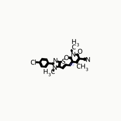 CCN1C(=O)C(C#N)=C(C)/C(=C/c2cc3c(nc(-c4ccc(Cl)cc4)n3C)s2)C1=O